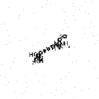 Nc1ncnc2c1c(-c1ccc(Oc3ccccc3)cc1)nn2C1CCN(C2CN(C3CN(c4ccc5c(c4)C(=O)N(C4CCC(=O)NC4=O)C5O)C3)C2)CC1F